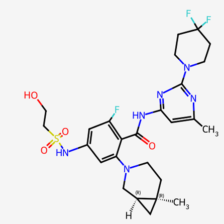 Cc1cc(NC(=O)c2c(F)cc(NS(=O)(=O)CCO)cc2N2CC[C@@]3(C)C[C@H]3C2)nc(N2CCC(F)(F)CC2)n1